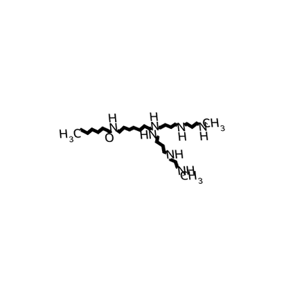 CCCCCCC(=O)NCCCCCCC(NCCCCNCCCNC)NCCCCNCCCNC